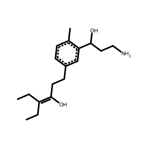 CCC(CC)=C(O)CCc1ccc(C)c(C(O)CCN)c1